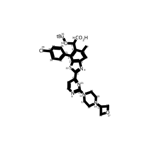 Cc1cc2nc(-c3ccnc(N4CCN(C5COC5)CC4)n3)sc2c(-c2ccc(Cl)cc2)c1C(OC(C)(C)C)C(=O)O